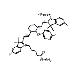 BNC(=O)CCCC[N+]1=C(/C=C/C2=C(Oc3ccc(C)cc3)C(=C/C=C3/N(CCCCC)c4ccc(C)cc4C3(C)C)/CCC2)C(C)(C)c2cc(F)ccc21